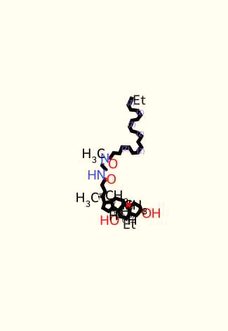 CC/C=C\C/C=C\C/C=C\C/C=C\C/C=C\C/C=C\CCC(=O)N(C)CCNC(=O)CC[C@@H](C)C1CC[C@H]2[C@@H]3[C@H](O)[C@H](CC)[C@@H]4C[C@H](O)CC[C@]4(C)[C@H]3CC[C@]12C